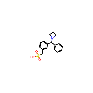 O=S(=O)(O)Cc1cccc(C(c2ccccc2)N2CCC2)c1